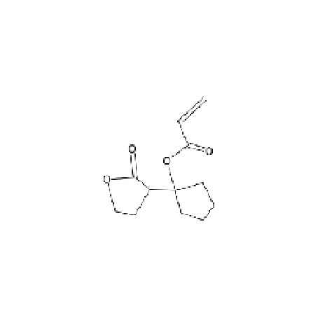 C=CC(=O)OC1(C2CCOC2=O)CCCC1